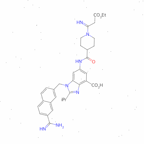 CCOC(=O)CC(=N)N1CCC(C(=O)Nc2cc(C(=O)O)c3nc(C(C)C)n(Cc4ccc5ccc(C(=N)N)cc5c4)c3c2)CC1